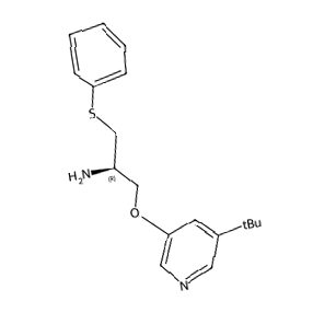 CC(C)(C)c1cncc(OC[C@@H](N)CSc2ccccc2)c1